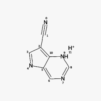 N#Cc1cnc2cnc[nH]c1-2.[H+]